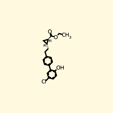 CCOC(=O)[C@@H]1C[C@H]1CCc1ccc(-c2cc(Cl)ccc2O)cc1